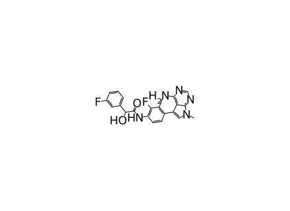 Cc1c(-c2cn(C)c3ncnc(N)c23)ccc(NC(=O)C(O)c2cccc(F)c2)c1F